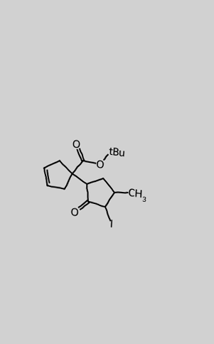 CC1CC(C2(C(=O)OC(C)(C)C)CC=CC2)C(=O)C1I